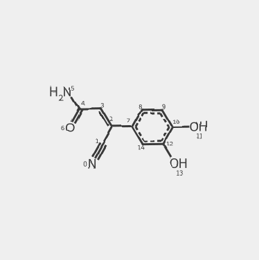 N#CC(=CC(N)=O)c1ccc(O)c(O)c1